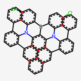 Clc1ccc2c(c1)N(c1c(-c3ccccc3)cccc1-c1ccccc1)c1cc(-c3ccccc3)cc3c1B2c1ccc(Cl)cc1N3c1c(-c2ccccc2)cccc1-c1ccccc1